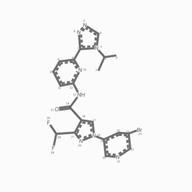 CC(C)n1cnnc1-c1cccc(NC(=O)c2cn(-c3cncc(Br)c3)nc2C(F)F)n1